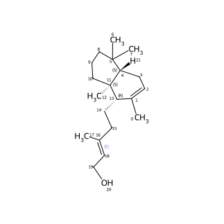 CC1=CC[C@H]2C(C)(C)CCC[C@]2(C)[C@H]1CC/C(C)=C/CO